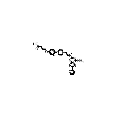 CN(CCN1CCN(c2ccc(OCCCC(=O)O)cc2F)CC1)c1nc(N)n2nc(-c3ccco3)nc2n1